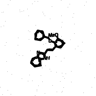 COc1cccc(/C=C/c2nc3ccccc3[nH]2)c1OCc1ccccc1